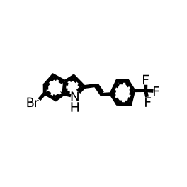 FC(F)(F)c1ccc(C=Cc2cc3ccc(Br)cc3[nH]2)cc1